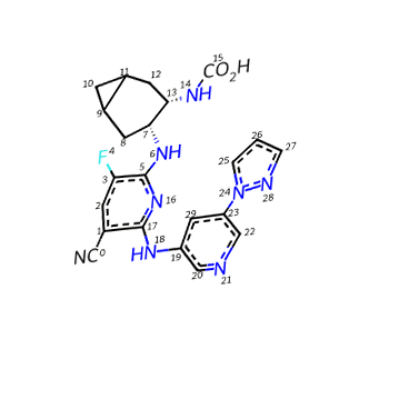 N#Cc1cc(F)c(N[C@@H]2CC3CC3C[C@@H]2NC(=O)O)nc1Nc1cncc(-n2cccn2)c1